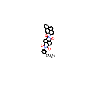 O=C(O)c1cccc(N2C(=O)c3ccc4c5c(ccc(c35)C2=O)C(=O)N(c2ccc3ccc5cccc6ccc2c3c56)C4=O)c1